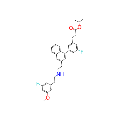 COc1cc(F)cc(CCNCCc2cc(-c3cc(F)cc(CCC(=O)OC(C)C)c3)c3ccccc3c2)c1